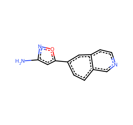 Nc1cc(-c2ccc3cnccc3c2)on1